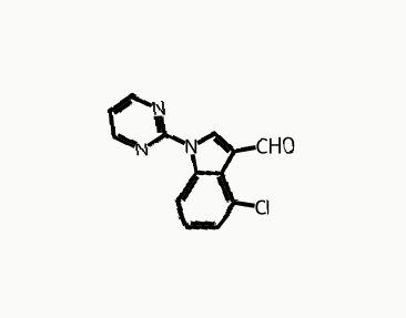 O=Cc1cn(-c2ncccn2)c2cccc(Cl)c12